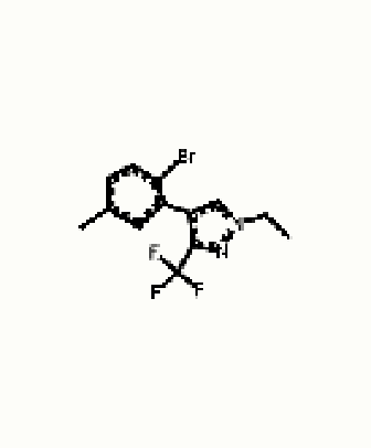 CCn1cc(-c2cc(C)ccc2Br)c(C(F)(F)F)n1